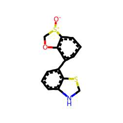 [O-][S+]1COc2c(-c3cccc4c3SCN4)cccc21